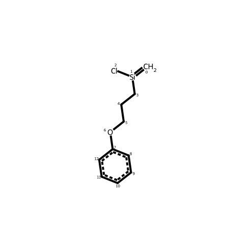 C=[Si](Cl)CCCOc1ccccc1